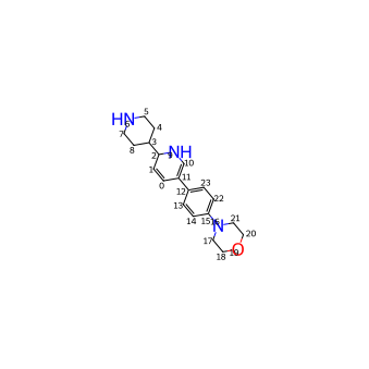 C1=CC(C2CCNCC2)NC=C1c1ccc(N2CCOCC2)cc1